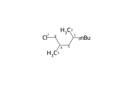 CCCCC(C)CC(C)CCl